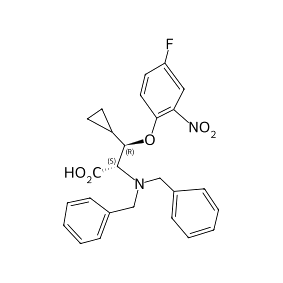 O=C(O)[C@H]([C@H](Oc1ccc(F)cc1[N+](=O)[O-])C1CC1)N(Cc1ccccc1)Cc1ccccc1